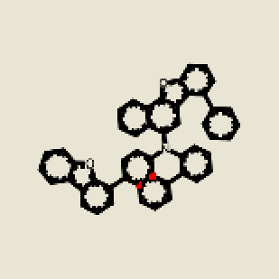 c1ccc(-c2ccccc2N(c2ccc(-c3cccc4c3oc3ccccc34)cc2)c2cc3c(oc4cccc(-c5ccccc5)c43)c3ccccc23)cc1